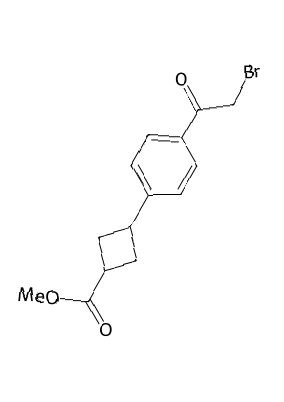 COC(=O)C1CC(c2ccc(C(=O)CBr)cc2)C1